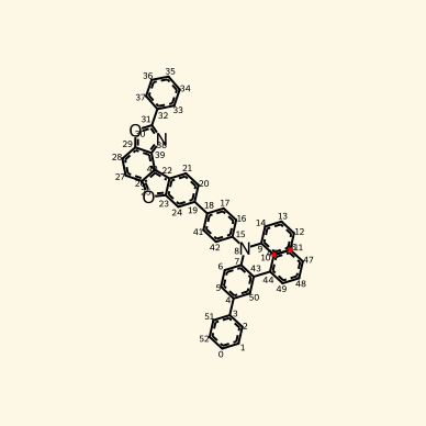 c1ccc(-c2ccc(N(c3ccccc3)c3ccc(-c4ccc5c(c4)oc4ccc6oc(-c7ccccc7)nc6c45)cc3)c(-c3ccccc3)c2)cc1